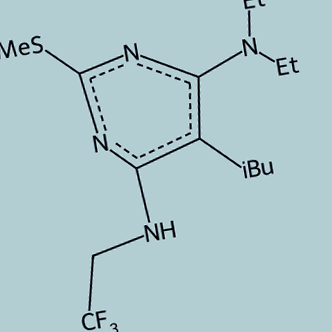 CCC(C)c1c(NCC(F)(F)F)nc(SC)nc1N(CC)CC